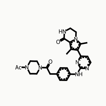 CC(=O)N1CCN(C(=O)Cc2ccc(Nc3nccc(-c4c(C)c5n(c4C)CCNC5=O)n3)cc2)CC1